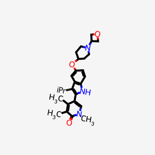 Cc1c(-c2[nH]c3ccc(OC4CCN(C5COC5)CC4)cc3c2C(C)C)cn(C)c(=O)c1C